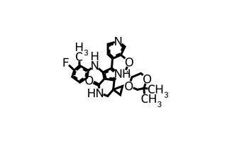 Cc1c(F)cccc1Nc1c(-c2ccncc2OC[C@@H]2COC(C)(C)CO2)[nH]c2c1C(=O)NCC21CC1